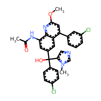 COc1cc(-c2cccc(Cl)c2)c2cc(C(O)(c3ccc(Cl)cc3)c3cncn3C)cc(NC(C)=O)c2n1